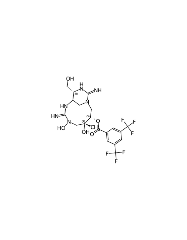 C[C@@]1(O)CN(O)C(=N)NC2CN(C[C@@H]1OC(=O)c1cc(C(F)(F)F)cc(C(F)(F)F)c1)C(=N)N[C@H]2CO